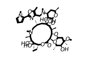 CC[C@H]1OC(=O)[C@H](C)[C@@H](O[C@H]2C[C@@](C)(OC)[C@@H](O)[C@H](C)O2)[C@H](C)[C@@H](O[C@@H]2O[C@H](C)C[C@H](N(C)Cc3nc(-c4cccn4C)oc3C)[C@H]2O)[C@](C)(O)C[C@@H](C)CN(C)[C@H](C)[C@@H](O)[C@]1(C)O